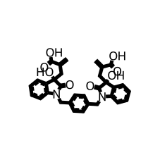 C=C(CC1(O)C(=O)N(Cc2ccc(CN3C(=O)C(O)(CC(=C)C(=O)O)c4ccccc43)cc2)c2ccccc21)C(=O)O